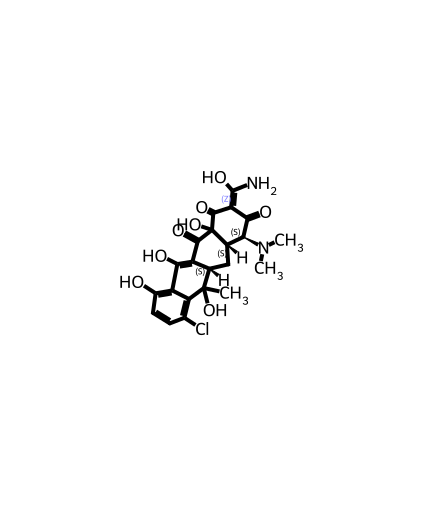 CN(C)[C@@H]1C(=O)/C(=C(\N)O)C(=O)C2(O)C(=O)C3=C(O)c4c(O)ccc(Cl)c4C(C)(O)[C@H]3C[C@@H]12